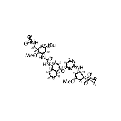 COc1cc(Nc2nccc(Oc3ccc(NC(=O)Nc4cc(C(C)(C)C)cc(CN[SH](=O)=O)c4OC)c4ccccc34)n2)cc(S(=O)(=O)C2CC2)c1